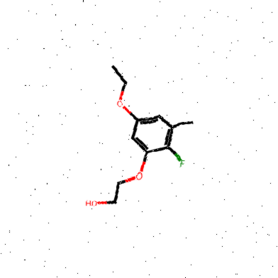 CCOc1cc(C)c(F)c(OCCO)c1